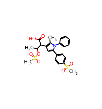 Cc1c(C(C(=O)O)C(C)OS(C)(=O)=O)cc(-c2ccc(S(C)(=O)=O)cc2)n1-c1ccccc1